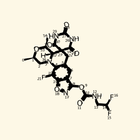 C[C@@H]1CN2c3c(cc4c(OC(=O)NCC(F)F)noc4c3F)CC3(C(=O)NC(=O)NC3=O)[C@H]2[C@H](C)O1